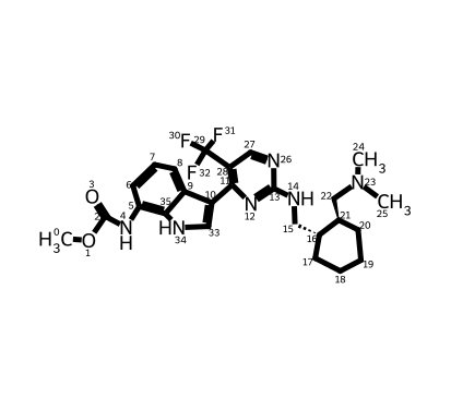 COC(=O)Nc1cccc2c(-c3nc(NC[C@H]4CCCC[C@@H]4CN(C)C)ncc3C(F)(F)F)c[nH]c12